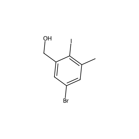 Cc1cc(Br)cc(CO)c1I